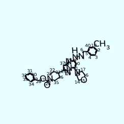 Cc1cccc(C=NNc2cc(N3CCOCC3)n3nc(C4CCN(C(=O)OCc5ccccc5)CC4)cc3n2)c1